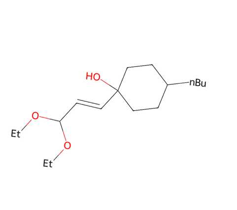 CCCCC1CCC(O)(C=CC(OCC)OCC)CC1